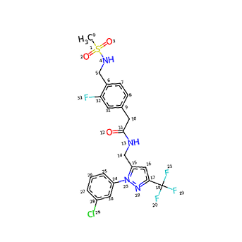 CS(=O)(=O)NCc1ccc(CC(=O)NCc2cc(C(F)(F)F)nn2-c2cccc(Cl)c2)cc1F